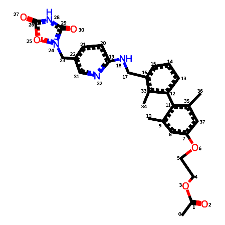 CC(=O)OCCOc1cc(C)c(-c2cccc(CNc3ccc(Cn4oc(=O)[nH]c4=O)cn3)c2C)c(C)c1